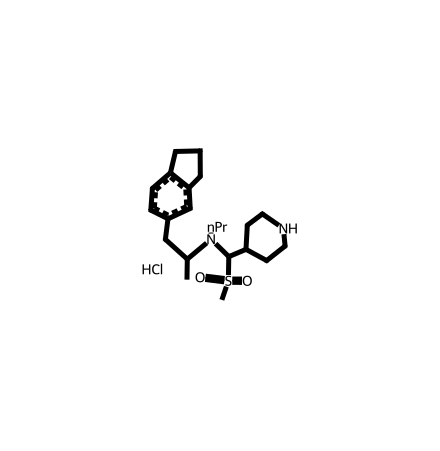 CCCN(C(C)Cc1ccc2c(c1)CCC2)C(C1CCNCC1)S(C)(=O)=O.Cl